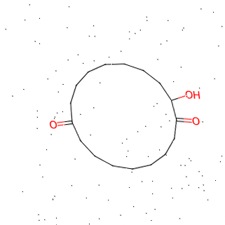 O=C1CCCCCCCC(=O)C(O)CCCCCCC1